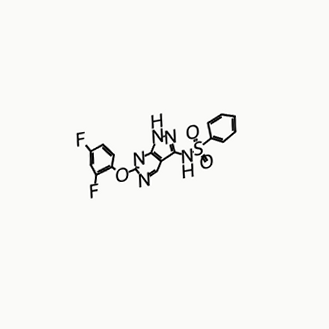 O=S(=O)(Nc1n[nH]c2nc(Oc3ccc(F)cc3F)ncc12)c1ccccc1